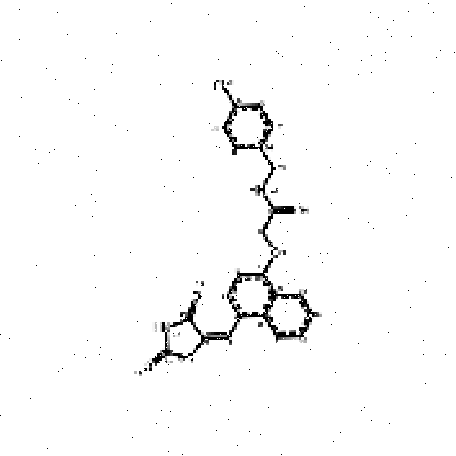 O=C(COc1ccc(C=C2SC(=O)NC2=O)c2ccccc12)NCc1ccc(Cl)cc1